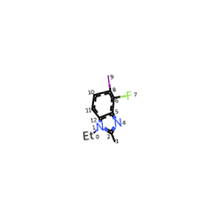 CCn1c(C)nc2c(F)c(I)ccc21